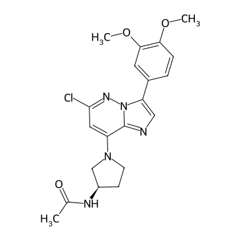 COc1ccc(-c2cnc3c(N4CC[C@@H](NC(C)=O)C4)cc(Cl)nn23)cc1OC